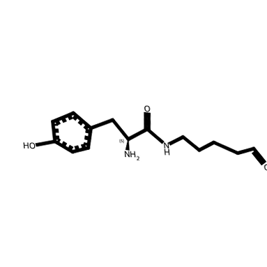 N[C@@H](Cc1ccc(O)cc1)C(=O)NCCCCC=O